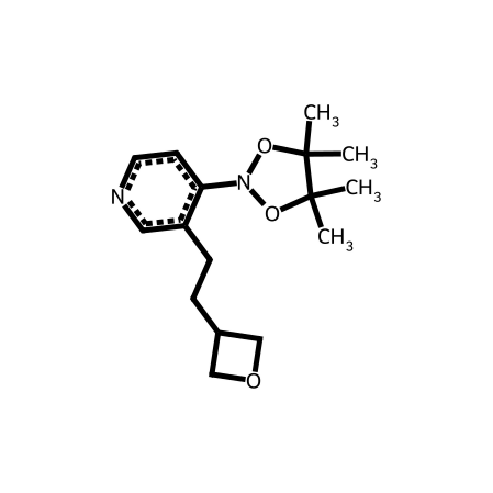 CC1(C)ON(c2ccncc2CCC2COC2)OC1(C)C